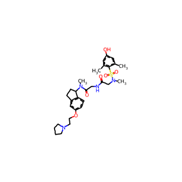 Cc1cc(O)cc(C)c1S(=O)(=O)N(C)CC(=O)NCC(=O)N(C)C1CCc2cc(OCCN3CCCC3)ccc21